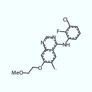 [CH2]c1cc2c(Nc3cccc(Cl)c3F)ncnc2cc1OCCOC